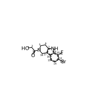 O=C(CO)N1CCc2[nH]c3c(F)c(Br)ccc3c2C1